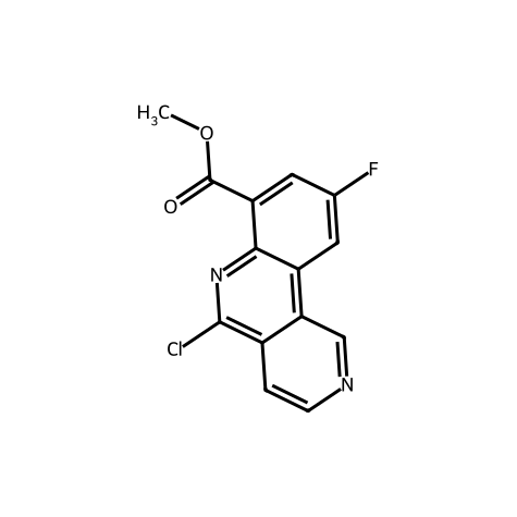 COC(=O)c1cc(F)cc2c1nc(Cl)c1ccncc12